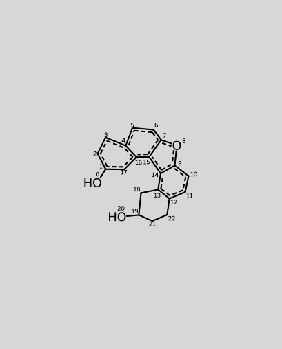 Oc1ccc2ccc3oc4ccc5c(c4c3c2c1)CC(O)CC5